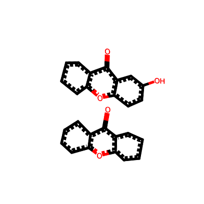 O=c1c2ccccc2oc2ccc(O)cc12.O=c1c2ccccc2oc2ccccc12